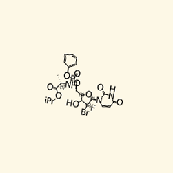 CC(C)OC(=O)[C@H](C)N[P@](=O)(OC[C@H]1O[C@@H](n2ccc(=O)[nH]c2=O)[C@@](F)(Br)C1O)Oc1ccccc1